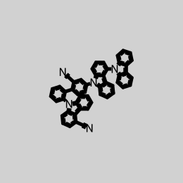 N#Cc1cc(-n2c3ccccc3c3c(-n4c5ccccc5c5ccccc54)cccc32)ccc1-c1ccccc1-n1c2ccccc2c2c(C#N)cccc21